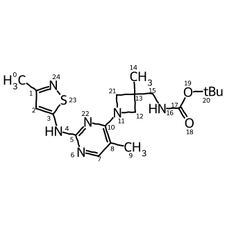 Cc1cc(Nc2ncc(C)c(N3CC(C)(CNC(=O)OC(C)(C)C)C3)n2)sn1